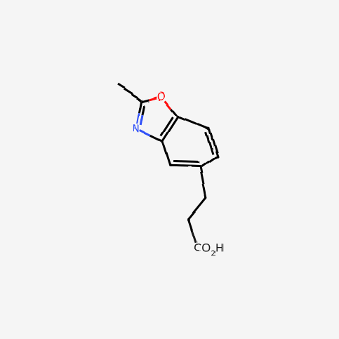 Cc1nc2cc(CCC(=O)O)ccc2o1